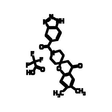 Cc1cc2c(cc1C)C(=O)CC1(CCN(C(=O)c3ccc4[nH]nnc4c3)CC1)O2.O=C(O)C(F)(F)F